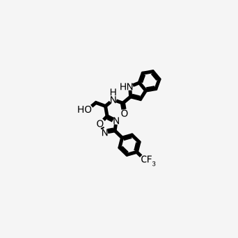 O=C(NC(CO)c1nc(-c2ccc(C(F)(F)F)cc2)no1)c1cc2ccccc2[nH]1